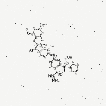 COc1ccc(CN2C(=O)c3ccc(Nc4ncc(C(=O)NN)c(N[C@H](CO)c5ccccc5)n4)c(F)c3C2(C)C)c(OC)c1